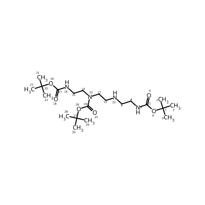 CC(C)(C)OC(=O)NCCNCCN(CCNC(=O)OC(C)(C)C)C(=O)OC(C)(C)C